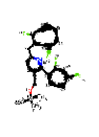 CC(C)(C)[Si](C)(C)OCc1ccc(Cc2c(F)cccc2F)nc1-c1ccc(F)cc1F